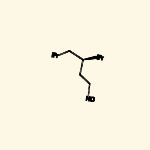 CC(C)C[C@H](CCN=O)C(C)C